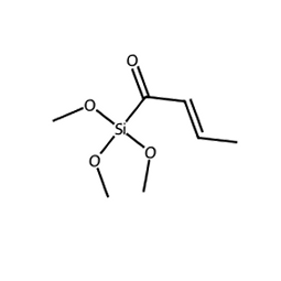 CC=CC(=O)[Si](OC)(OC)OC